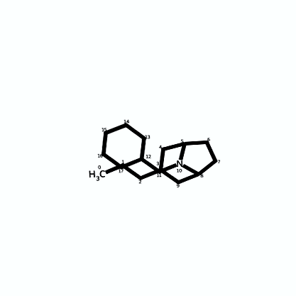 CCCC1CC2CCC(C1)N2CC1CCCCC1